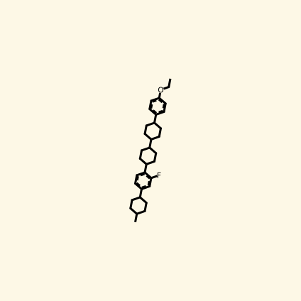 CCOc1ccc(C2CCC(C3CCC(c4ccc(C5CCC(C)CC5)cc4F)CC3)CC2)cc1